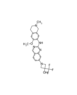 COc1cc2c(cc1Nc1ncc3ccc(N4CC(O)(C(F)(F)F)C4)cc3n1)CN(C)CC2